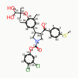 CSc1ccc(C(=O)[C@H]2CN(C(=O)Oc3ccc(Cl)c(Cl)c3)CC2c2cc(C)c(OC(C)(C)C(O)O)c(C)c2)cc1